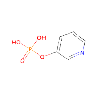 O=P(O)(O)Oc1cccnc1